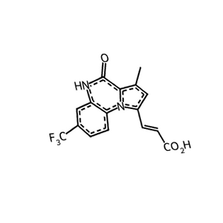 Cc1cc(/C=C/C(=O)O)n2c1c(=O)[nH]c1cc(C(F)(F)F)ccc12